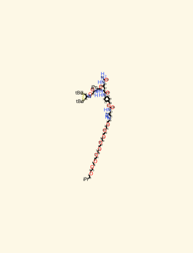 CC(C)CCOCCOCCOCCOCCOCCOCCOCCOCCOCCn1cc(CNC(=O)OCc2ccc(NC(=O)[C@H](CCCNC(N)=O)NC(=O)[C@@H](NC(=O)CON=C(CSC(C)(C)C)CSC(C)(C)C)C(C)C)cc2)nn1